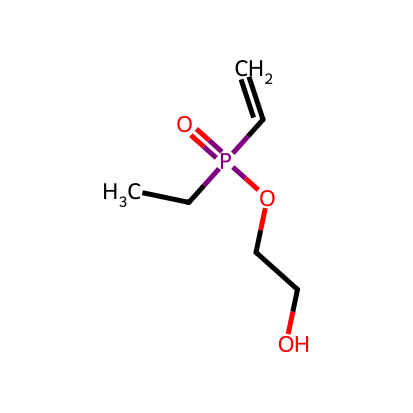 C=CP(=O)(CC)OCCO